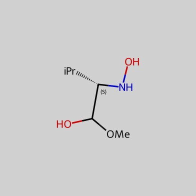 COC(O)[C@@H](NO)C(C)C